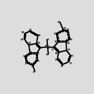 Cc1ccc2c(c1)C([Si](C)(C)C1=C3C=CC=CC3c3ccc(C)cc31)=C1C=CC=CC12